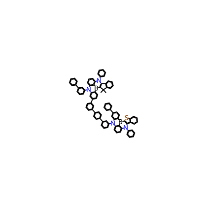 CC1(C)C2=C(c3ccccc31)N(c1ccccc1)c1cccc3c1B2c1ccc(-c2cccc(-c4ccc(-c5cccc(N6c7cc(-c8ccccc8)ccc7B7c8sc9ccccc9c8N(c8ccccc8)c8cccc6c87)c5)cc4)c2)cc1N3c1cccc(-c2ccccc2)c1